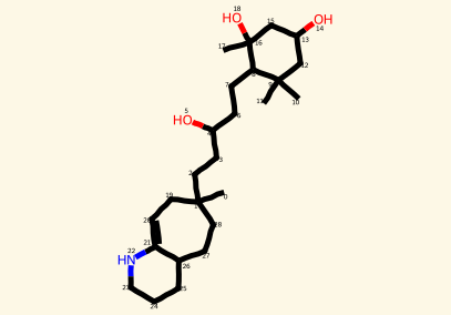 CC1(CCC(O)CCC2C(C)(C)CC(O)CC2(C)O)CC=C2NCCCC2CC1